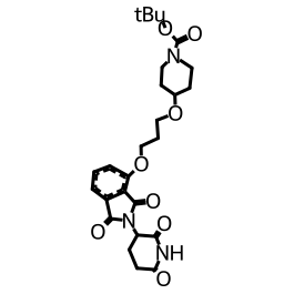 CC(C)(C)OC(=O)N1CCC(OCCCOc2cccc3c2C(=O)N(C2CCC(=O)NC2=O)C3=O)CC1